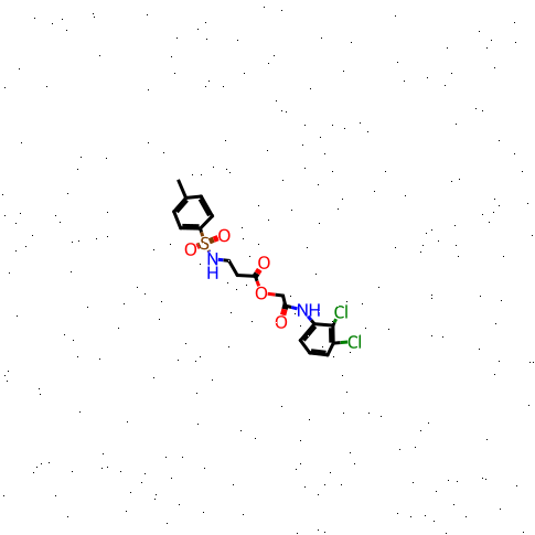 Cc1ccc(S(=O)(=O)NCCC(=O)OCC(=O)Nc2cccc(Cl)c2Cl)cc1